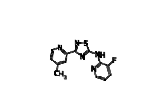 Cc1ccnc(-c2nsc(Nc3ncccc3F)n2)c1